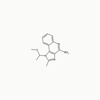 CSC(C)n1c(C)nc2c(N)nc3ccccc3c21